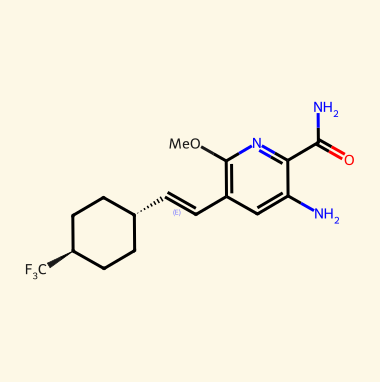 COc1nc(C(N)=O)c(N)cc1/C=C/[C@H]1CC[C@H](C(F)(F)F)CC1